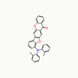 Cc1ccccc1N(c1ccccc1C)c1cccc2c1oc1cc3c(=O)c4ccccc4oc3cc12